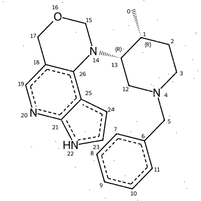 C[C@@H]1CCN(Cc2ccccc2)C[C@@H]1N1COCc2cnc3[nH]ccc3c21